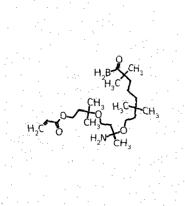 BC(=O)C(C)(C)CCCC(C)(C)CCOC(C)(N)CCOC(C)(C)CCOC(=O)C=C